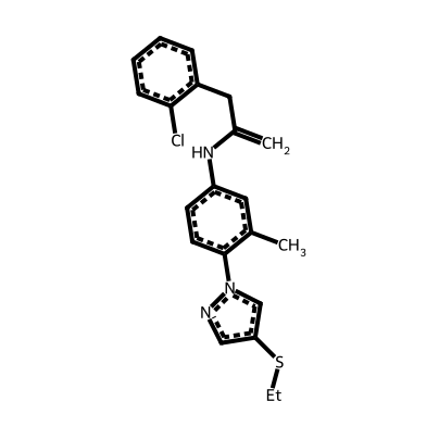 C=C(Cc1ccccc1Cl)Nc1ccc(-n2cc(SCC)cn2)c(C)c1